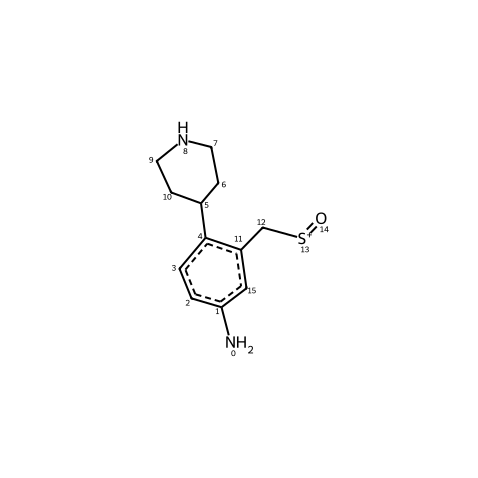 Nc1ccc(C2CCNCC2)c(C[S+]=O)c1